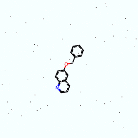 c1ccc(COc2ccc3ncccc3c2)cc1